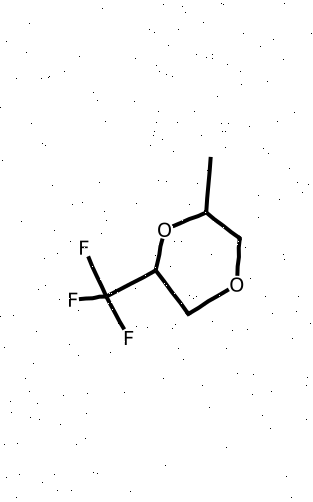 CC1COCC(C(F)(F)F)O1